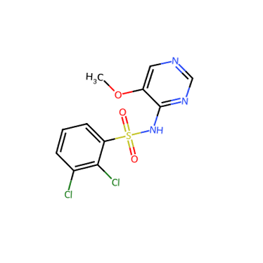 COc1cncnc1NS(=O)(=O)c1cccc(Cl)c1Cl